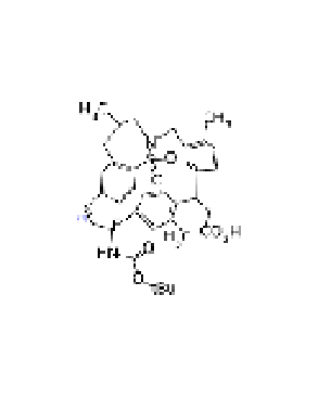 Cc1ccc(C(CC(=O)O)c2ccc(F)cc2C)cc1CN1CC(C)Cc2cc(/C=C\CNC(=O)OC(C)(C)C)ccc2S1(=O)=O